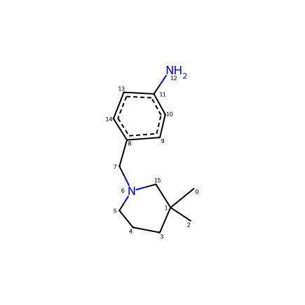 CC1(C)CCCN(Cc2ccc(N)cc2)C1